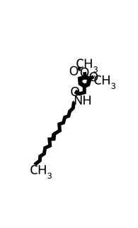 CCCCCCCCC=CCCCCCCCCNC(=O)Cc1ccc(OC(C)=O)c(OC)c1